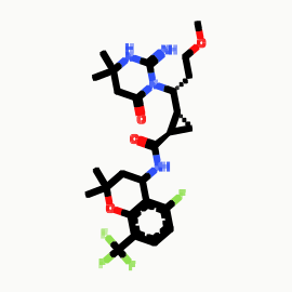 COCC[C@H]([C@@H]1C[C@H]1C(=O)NC1CC(C)(C)Oc2c(C(F)(F)F)ccc(F)c21)N1C(=N)NC(C)(C)CC1=O